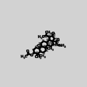 CC(=O)OC1CCC2(C)C(CCC3(C)C4CCC5(C(=O)NN)CC(=O)C(C(C)C)=C5C4CCC32)C1(C)C